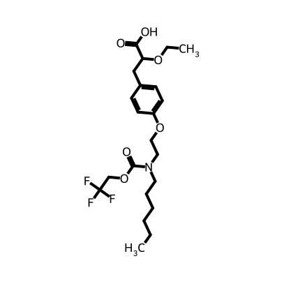 CCCCCCN(CCOc1ccc(CC(OCC)C(=O)O)cc1)C(=O)OCC(F)(F)F